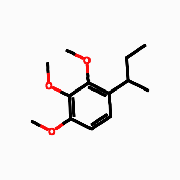 CCC(C)c1ccc(OC)c(OC)c1OC